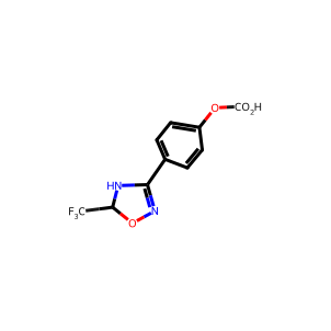 O=C(O)Oc1ccc(C2=NOC(C(F)(F)F)N2)cc1